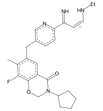 CCN/C=C\C(=N)c1ccc(Cc2cc3c(c(F)c2C)OCN(C2CCCC2)C3=O)cn1